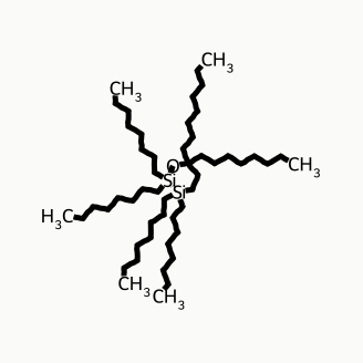 CCCCCCCCC1(CCCCCCCC)CC[Si](CCCCCCCC)(CCCCCCCC)[Si](CCCCCCCC)(CCCCCCCC)O1